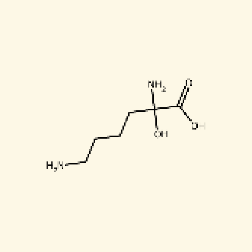 NCCCCC(N)(O)C(=O)O